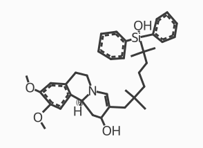 COc1cc2c(cc1OC)[C@H]1CC(O)C(CC(C)(C)CCCC(C)(C)[Si](O)(c3ccccc3)c3ccccc3)=CN1CC2